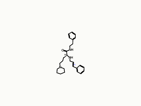 O=C(NCCc1ccccc1)[C@H](CCCN1CCCCC1)NC/C=C/c1ccccc1